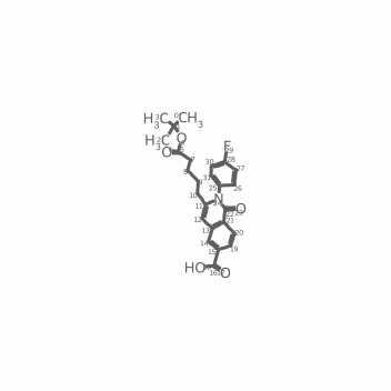 CC(C)(C)OC(=O)CCCCc1cc2cc(C(=O)O)ccc2c(=O)n1-c1ccc(F)cc1